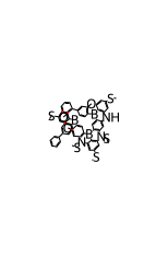 CSc1cc2c3c(c1)Oc1cc(-c4ccccc4)ccc1B3c1cc3c(cc1N2)N(SC)c1cc(SC)cc2c1B3c1cc3c(cc1N2SC)Oc1cc(SC)cc2c1B3c1ccc(-c3ccccc3)cc1O2